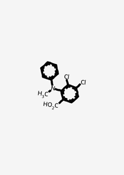 CN(c1ccccc1)c1c(C(=O)O)ccc(Cl)c1Cl